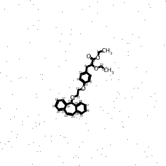 CCOC(=O)C(Cc1ccc(OCCOC2c3ccccc3C=Cc3ccccc32)cc1)OCC